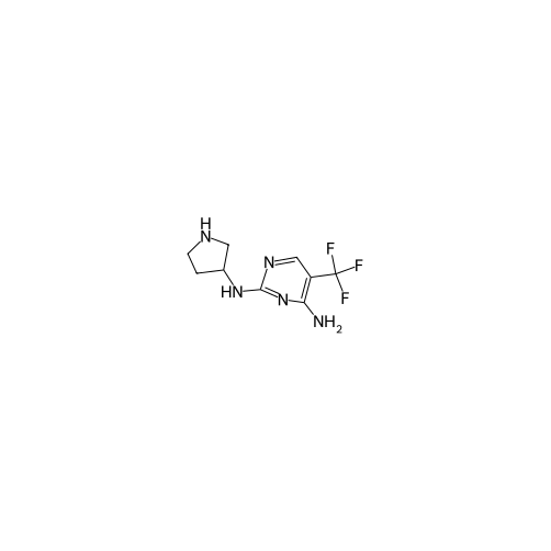 Nc1nc(NC2CCNC2)ncc1C(F)(F)F